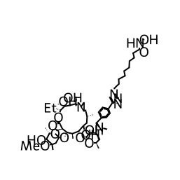 CC[C@H]1OC(=O)[C@H](C)[C@@H](O[C@H]2C[C@@](C)(OC)[C@@H](O)[C@H](C)O2)[C@H](C)[C@@H](O[C@@H]2O[C@H](C)C[C@H](N(C)Cc3ccc(-c4cn(CCCCCCCCCC(=O)NO)nn4)cc3)[C@@H]2O)[C@](C)(O)C[C@@H](C)CN(C)[C@H](C)[C@@H](O)[C@]1(C)O